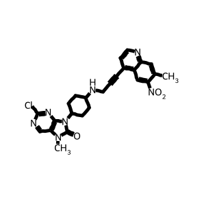 Cc1cc2nccc(C#CCNC3CCC(n4c(=O)n(C)c5cnc(Cl)nc54)CC3)c2cc1[N+](=O)[O-]